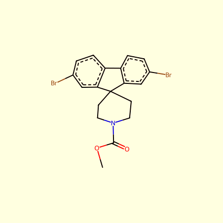 COC(=O)N1CCC2(CC1)c1cc(Br)ccc1-c1ccc(Br)cc12